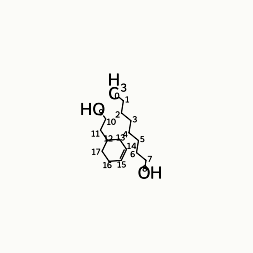 CCCCCCCCO.OCCC1CC=CCC1